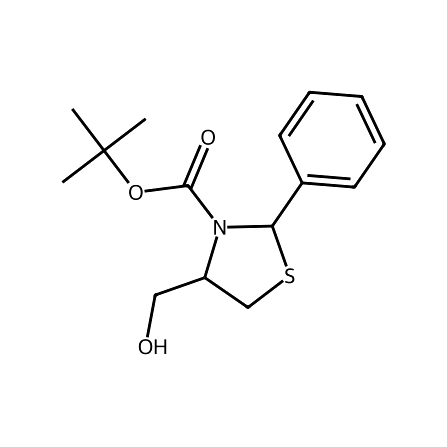 CC(C)(C)OC(=O)N1C(CO)CSC1c1ccccc1